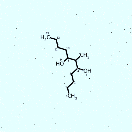 CCCCC(O)C(C)C(O)CCCC